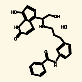 Cl.O=C(Nc1cccc(CCCNC(CO)c2ccc(O)c3[nH]c(=O)ccc23)c1)c1ccccc1